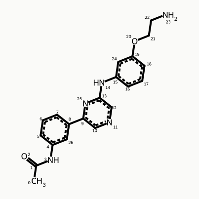 CC(=O)Nc1cccc(-c2cncc(Nc3cccc(OCCN)c3)n2)c1